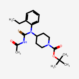 CCc1ccccc1N(C(=S)NC(C)=O)C1CCN(C(=O)OC(C)(C)C)CC1